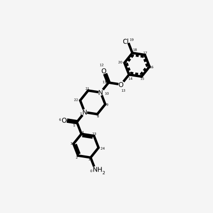 NC1C=CC(C(=O)N2CCN(C(=O)Oc3cccc(Cl)c3)CC2)=CC1